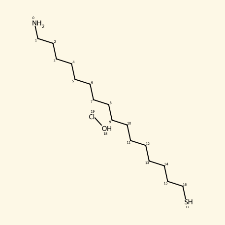 NCCCCCCCCCCCCCCCCS.OCl